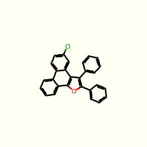 Clc1ccc2c3ccccc3c3oc(-c4ccccc4)c(-c4ccccc4)c3c2c1